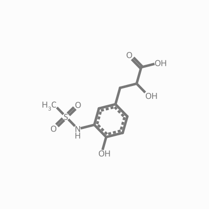 CS(=O)(=O)Nc1cc(CC(O)C(=O)O)ccc1O